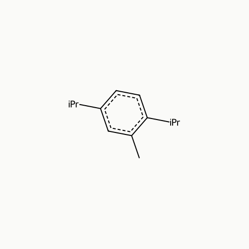 Cc1cc(C(C)C)ccc1C(C)C